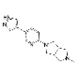 CN1CC2CN(c3ccc(-c4cn[nH]c4)cn3)CC2C1